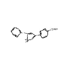 COc1ccc(-c2c[te]c(-c3ccccc3)c2)cc1